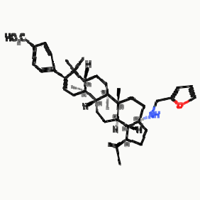 C=C(C)[C@@H]1CC[C@]2(NCc3ccco3)CC[C@]3(C)[C@H](CC[C@@H]4[C@@]5(C)CC=C(c6ccc(C(=O)O)cc6)C(C)(C)[C@@H]5CC[C@]43C)[C@@H]12